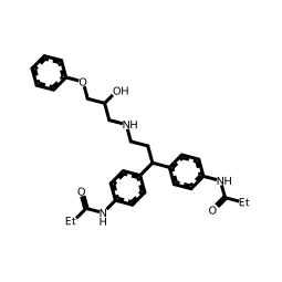 CCC(=O)Nc1ccc(C(CCNCC(O)COc2ccccc2)c2ccc(NC(=O)CC)cc2)cc1